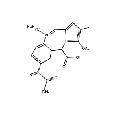 C=C(C(N)=O)C1=CC=C2C(C1)C(S(=O)O)n1c(cc(C)c1OC(C)=O)C=[N+]2[O-].[NaH]